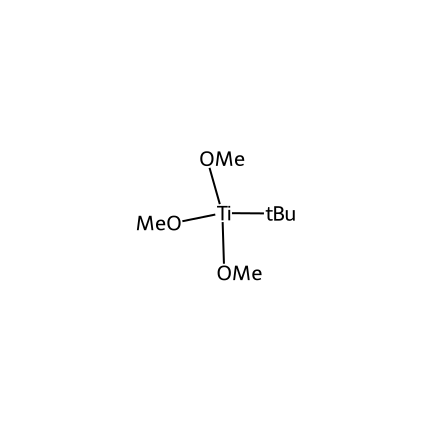 C[O][Ti]([O]C)([O]C)[C](C)(C)C